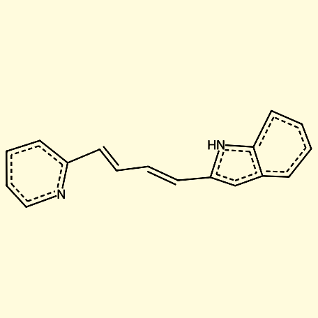 C(/C=C/c1cc2ccccc2[nH]1)=C\c1ccccn1